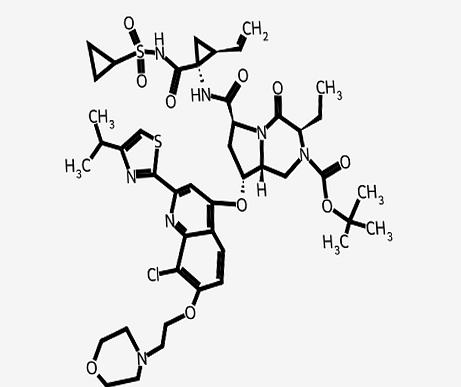 C=C[C@@H]1C[C@]1(NC(=O)[C@@H]1C[C@@H](Oc2cc(-c3nc(C(C)C)cs3)nc3c(Cl)c(OCCN4CCOCC4)ccc23)[C@H]2CN(C(=O)OC(C)(C)C)[C@H](CC)C(=O)N21)C(=O)NS(=O)(=O)C1CC1